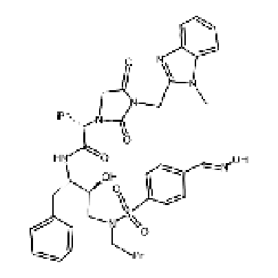 CC(C)CN(C[C@H](O)[C@H](Cc1ccccc1)NC(=O)[C@H](C(C)C)N1CC(=O)N(Cc2nc3ccccc3n2C)C1=O)S(=O)(=O)c1ccc(C=NO)cc1